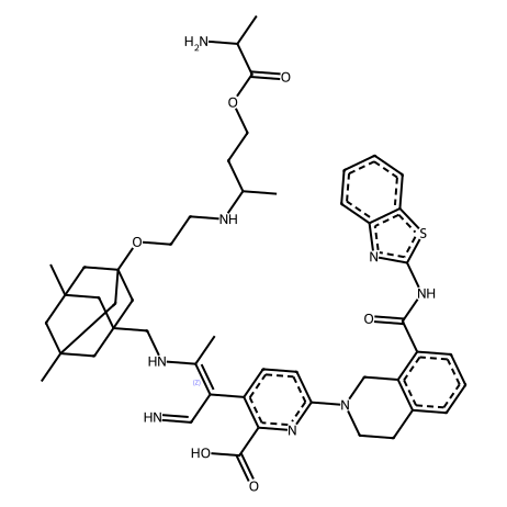 C/C(NCC12CC3(C)CC(C)(C1)CC(OCCNC(C)CCOC(=O)C(C)N)(C3)C2)=C(/C=N)c1ccc(N2CCc3cccc(C(=O)Nc4nc5ccccc5s4)c3C2)nc1C(=O)O